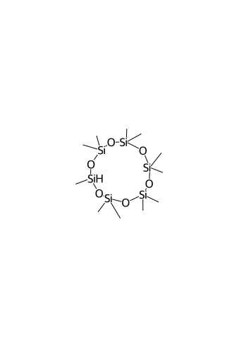 C[SiH]1O[Si](C)(C)O[Si](C)(C)O[Si](C)(C)O[Si](C)(C)O[Si](C)(C)O1